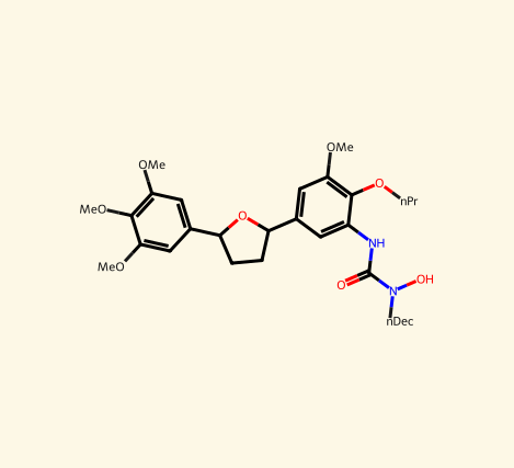 CCCCCCCCCCN(O)C(=O)Nc1cc(C2CCC(c3cc(OC)c(OC)c(OC)c3)O2)cc(OC)c1OCCC